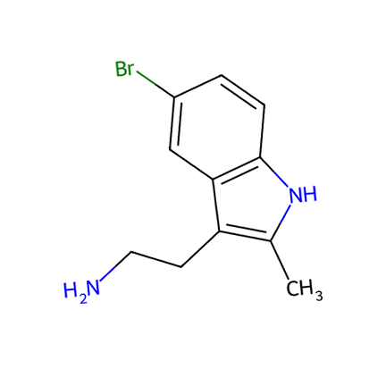 Cc1[nH]c2ccc(Br)cc2c1CCN